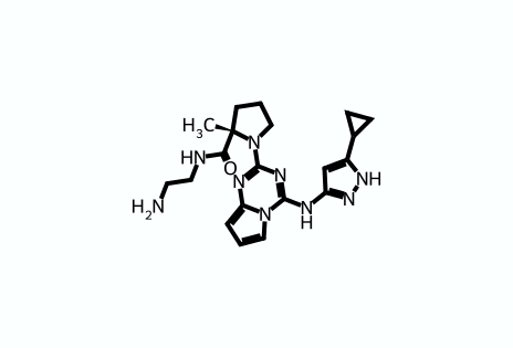 C[C@@]1(C(=O)NCCN)CCCN1c1nc(Nc2cc(C3CC3)[nH]n2)n2cccc2n1